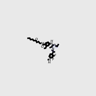 C\C=C/N=C(Nc1ccc(C(=O)NCCCC(=O)CCCCC)c(CC)c1)\C(C)=N\C=C(/C)c1ccc(NC)c(F)c1F